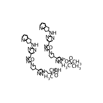 CC(C)(C)C(=O)OCn1cc(C2CCN(c3nnc(-c4cnc(NC5Cc6cccnc6C5)nc4)o3)C2)nn1.CC(C)(CCn1cc(C2CCN(c3nnc(-c4cnc(NC5Cc6cccnc6C5)nc4)o3)C2)nn1)C(=O)O